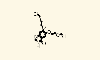 O=c1[nH]cnc2cc(OCCOCCl)c(OCCOCCl)cc12